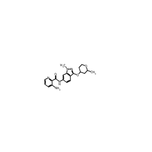 CC1CC(Oc2nn(C)c3cc(NC(=O)c4ncccc4N)ccc23)CCO1